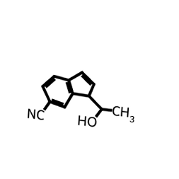 CC(O)C1C=Cc2ccc(C#N)cc21